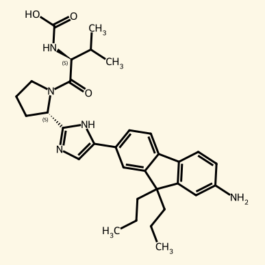 CCCC1(CCC)c2cc(N)ccc2-c2ccc(-c3cnc([C@@H]4CCCN4C(=O)[C@@H](NC(=O)O)C(C)C)[nH]3)cc21